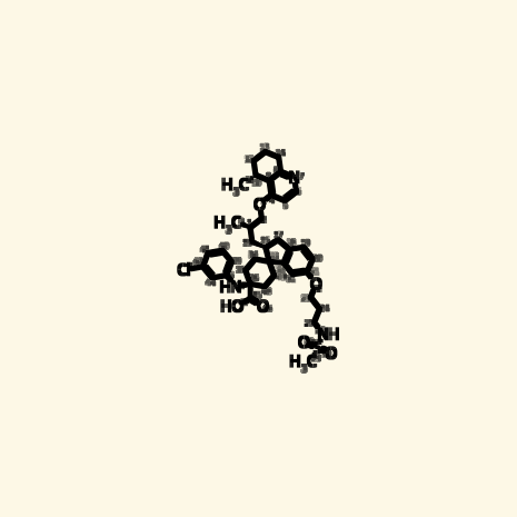 C[C@@H](COc1ccnc2c1[C@H](C)CCC2)C[C@H]1Cc2ccc(OCCCNS(C)(=O)=O)cc2C12CCC(Nc1cccc(Cl)c1)(C(=O)O)CC2